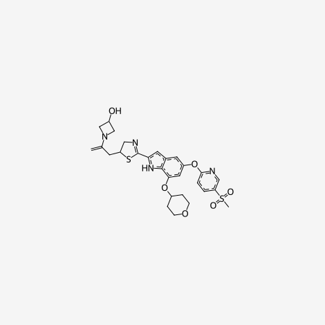 C=C(CC1CN=C(c2cc3cc(Oc4ccc(S(C)(=O)=O)cn4)cc(OC4CCOCC4)c3[nH]2)S1)N1CC(O)C1